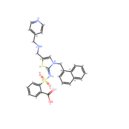 O=C(O)c1ccccc1S(=O)(=O)N=c1sc(CNCc2ccncc2)cn1Cc1cccc2ccccc12